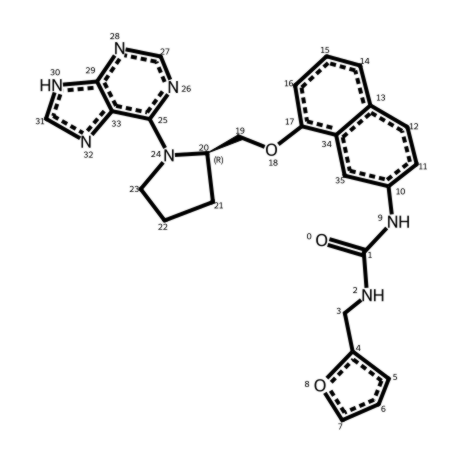 O=C(NCc1ccco1)Nc1ccc2cccc(OC[C@H]3CCCN3c3ncnc4[nH]cnc34)c2c1